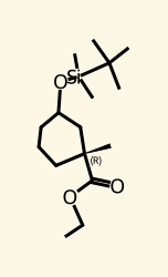 CCOC(=O)[C@]1(C)CCCC(O[Si](C)(C)C(C)(C)C)C1